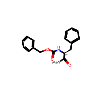 CNC(=O)[C@H](Cc1ccccc1)NC(=O)OCc1ccccc1